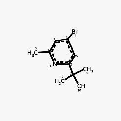 Cc1cc(Br)cc(C(C)(C)O)n1